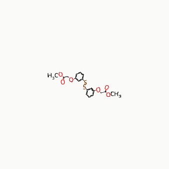 COC(=O)COc1cccc(SSc2cccc(OCC(=O)OC)c2)c1